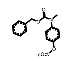 CCCCCCCCOc1ccc(N(C)C(=O)OCc2ccccc2)cc1